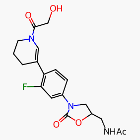 CC(=O)NCC1CN(c2ccc(C3=CN(C(=O)CO)CCC3)c(F)c2)C(=O)O1